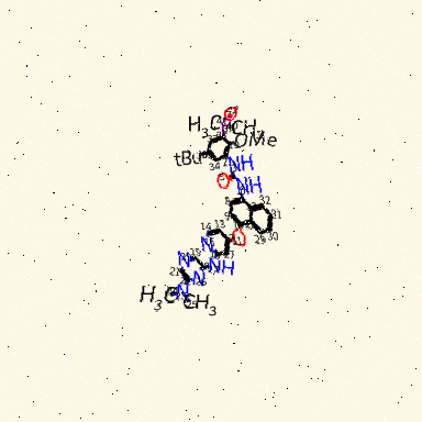 COc1c(NC(=O)Nc2ccc(Oc3ccnc(Nc4cncc(N(C)C)n4)c3)c3ccccc23)cc(C(C)(C)C)cc1P(C)(C)=O